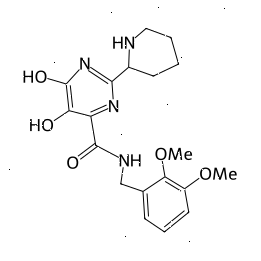 COc1cccc(CNC(=O)c2nc(C3CCCCN3)nc(O)c2O)c1OC